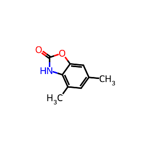 Cc1cc(C)c2[nH]c(=O)oc2c1